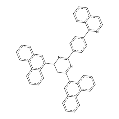 c1ccc2c(-c3ccc(C4=NC(c5cc6ccccc6c6ccccc56)CC(c5cc6ccccc6c6ccccc56)=N4)cc3)nccc2c1